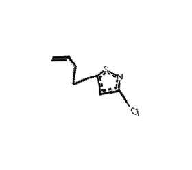 C=C[CH]c1cc(Cl)ns1